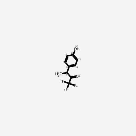 CC(C(=O)C(F)(F)F)c1ccc(O)cc1